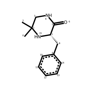 CC1(C)CNC(=O)[C@H](Cc2ccccc2)N1